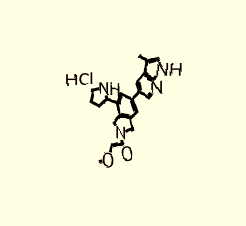 COCC(=O)N1Cc2cc(-c3cnc4[nH]cc(C)c4c3)cc(C3CCCN3)c2C1.Cl